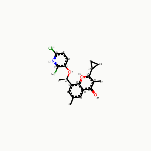 Cc1cc([C@@H](C)Oc2ccc(Cl)nc2F)c2oc(C3CC3)c(C)c(=O)c2c1